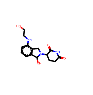 O=C1CCC(N2Cc3c(NCCO)cccc3C2O)C(=O)N1